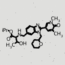 Cc1cc(-c2nc3ccc(CNC(C(=O)OC(C)C)C(C)O)cc3n2CC2CCCCO2)cn(C)c1=O